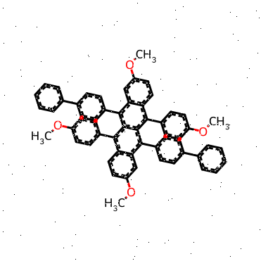 COc1ccc(-c2c3ccc(OC)cc3c(-c3ccc(-c4ccccc4)cc3)c3c(-c4ccc(OC)cc4)c4ccc(OC)cc4c(-c4ccc(-c5ccccc5)cc4)c23)cc1